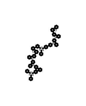 c1ccc(-c2nc(-c3ccc(-c4ccc(-n5c6ccccc6c6cc(-n7c8ccccc8c8cc(-c9cccc%10c9oc9ccccc9%10)ccc87)ccc65)cc4)cc3)nc(-c3cccc(-c4cccc5oc6c(-c7ccc8c(c7)c7ccccc7n8-c7ccc8c(c7)c7ccccc7n8-c7ccc8c9ccccc9c9ccc(-c%10nc(-c%11ccccc%11)nc(-c%11ccccc%11)n%10)cc9c8c7)cccc6c45)c3)n2)cc1